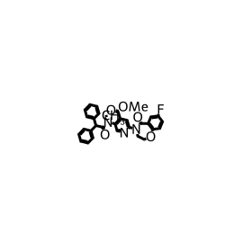 COC(=O)c1cc(N2CCOc3ccc(F)cc3C2=O)ncc1N(C)C(=O)C(c1ccccc1)c1ccccc1